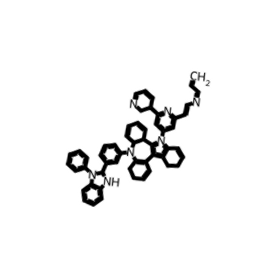 C=C/C=N\C=C\c1cc(-n2c3c(c4c2C2C=CC=CC2N(c2cccc(C5Nc6ccccc6N5c5ccccc5)c2)C2=C4C=CCC2)CCC=C3)cc(C2C=CC=NC2)n1